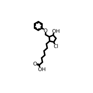 O=C(O)CCCCCCC1C(Cl)CC(O)C1COc1ccccc1